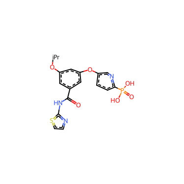 CC(C)Oc1cc(Oc2ccc(P(=O)(O)O)nc2)cc(C(=O)Nc2nccs2)c1